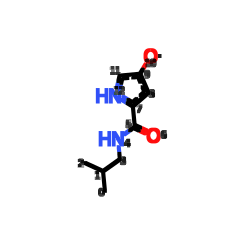 CC(C)CNC(=O)c1cc([O])c[nH]1